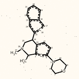 CC1c2cc(N3CCOCC3)ccc2C(c2ccc3ccccc3c2)CN1C